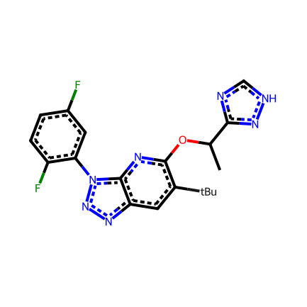 CC(Oc1nc2c(cc1C(C)(C)C)nnn2-c1cc(F)ccc1F)c1nc[nH]n1